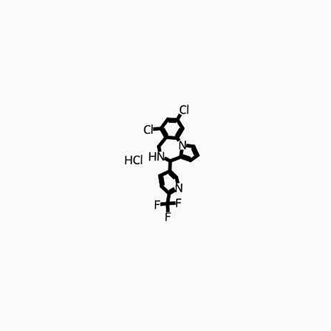 Cl.FC(F)(F)c1ccc(C2NCc3c(Cl)cc(Cl)cc3-n3cccc32)cn1